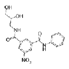 O=C(NCC(O)CO)c1cc(C(=O)Nc2ccccc2)cc([N+](=O)[O-])c1